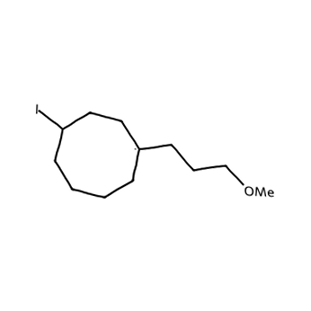 COCCC[C]1CCCCC(I)CC1